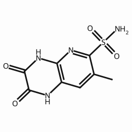 Cc1cc2[nH]c(=O)c(=O)[nH]c2nc1S(N)(=O)=O